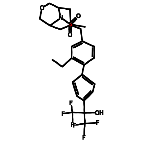 CCc1cc(CN2CC3COCC(C2)N3S(C)(=O)=O)ccc1-c1ccc(C(O)(C(F)(F)F)C(F)(F)F)cc1